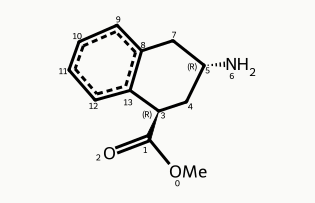 COC(=O)[C@@H]1C[C@@H](N)Cc2ccccc21